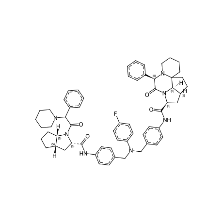 O=C(Nc1ccc(CN(Cc2ccc(NC(=O)[C@@H]3C[C@@H]4CCC56CCCCN5[C@H](c5ccccc5)C(=O)N3[C@H]46)cc2)c2ccc(F)cc2)cc1)[C@@H]1C[C@@H]2CCC[C@@H]2N1C(=O)C(c1ccccc1)N1CCCCC1